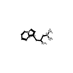 CC(Cc1ccn2ccccc12)CN(C)C